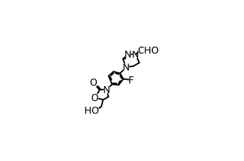 O=CN1CCN(c2ccc(N3CC(CO)OC3=O)cc2F)C=N1